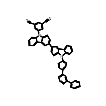 N#Cc1cc(C#N)cc(-n2c3ccccc3c3cc(-c4ccc5c(c4)c4ccccc4n5-c4ccc(-c5cccc(-c6ccccc6)c5)cc4)ccc32)c1